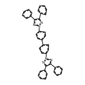 c1ccc(-c2nn(-c3ccc(-c4ccc(-n5nc(-c6ccccc6)c(-c6ccccc6)n5)cc4)cc3)nc2-c2ccccc2)cc1